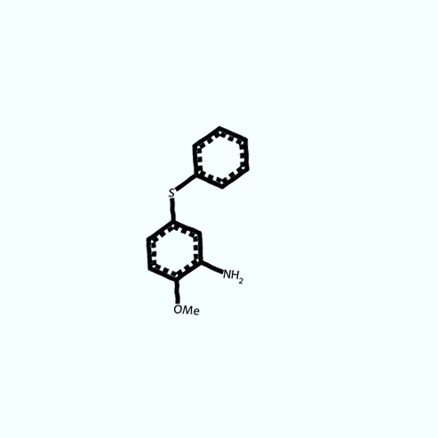 COc1ccc(Sc2ccccc2)cc1N